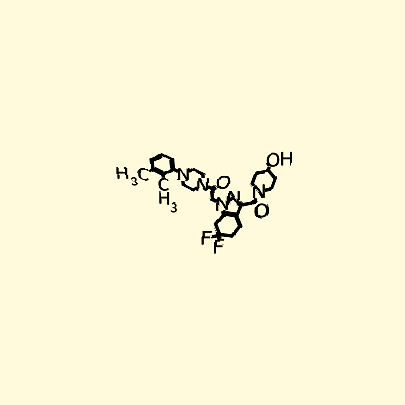 Cc1cccc(N2CCN(C(=O)Cn3nc(C(=O)N4CCC(O)CC4)c4c3CC(F)(F)CC4)CC2)c1C